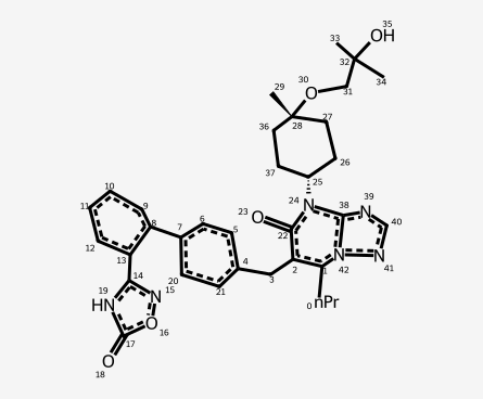 CCCc1c(Cc2ccc(-c3ccccc3-c3noc(=O)[nH]3)cc2)c(=O)n([C@H]2CC[C@@](C)(OCC(C)(C)O)CC2)c2ncnn12